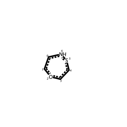 c1coccs[nH]1